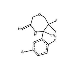 CC1(c2cc(Br)ccc2F)NC(=N)COCC1(F)F